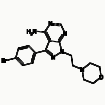 Nc1ncnc2c1c(-c1ccc(Br)cc1)nn2CCN1CCOCC1